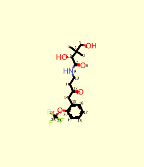 CC(C)(CO)[C@@H](O)C(=O)NCCC(=O)Cc1ccccc1OC(F)(F)F